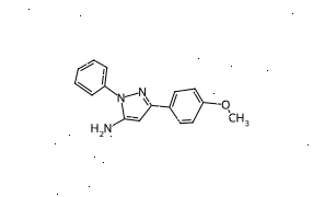 COc1ccc(-c2cc(N)n(-c3ccccc3)n2)cc1